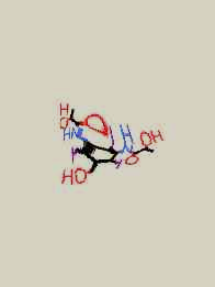 CC(O)C(=O)Nc1c(I)c(CO)c(I)c(NC(=O)C(C)O)c1I